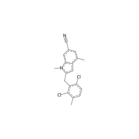 Cc1ccc(Cl)c(Cc2cc3c(C)cc(C#N)cc3n2C)c1Cl